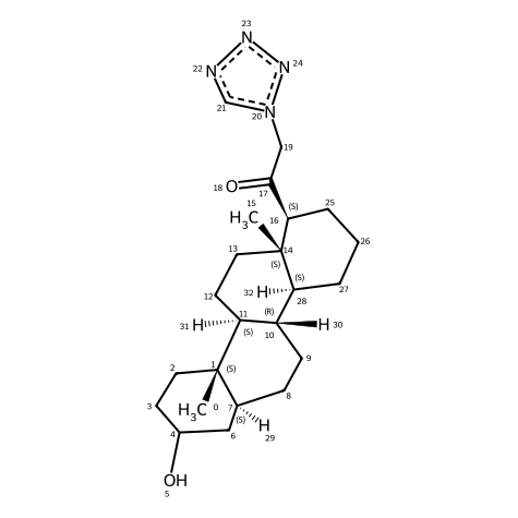 C[C@]12CCC(O)C[C@@H]1CC[C@@H]1[C@@H]2CC[C@]2(C)[C@@H](C(=O)Cn3cnnn3)CCC[C@@H]12